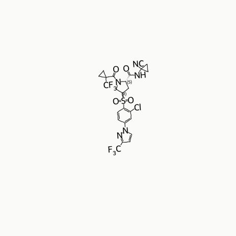 N#CC1(NC(=O)[C@@H]2C[C@@H](S(=O)(=O)c3ccc(-n4ccc(C(F)(F)F)n4)cc3Cl)CN2C(=O)C2(C(F)(F)F)CC2)CC1